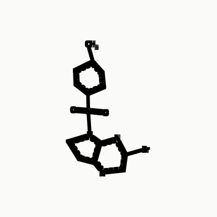 Cc1ccc(S(=O)(=O)n2ccc3ncc(Br)nc32)cc1